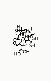 CC(S)(S)N[C@@H](CS)C(=O)O[C@@H]([C@H](O)CO)[C@H](C=O)OC(=O)[C@H](CS)NC(C)(S)S